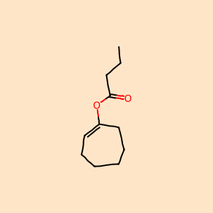 CCCC(=O)OC1=CCCCCC1